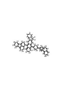 CC1(C)c2ccccc2-c2cc3c(-c4ccc5c6c(cccc46)-c4ccccc4-5)c4ccccc4c(-c4ccc(-c5cn6ccc7ccccc7c6n5)cc4)c3cc21